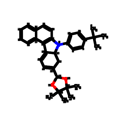 CC(C)(C)c1ccc(N2c3ccc4ccccc4c3C3=CC=C(B4OC(C)(C)C(C)(C)O4)CC32)cc1